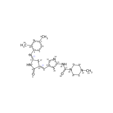 Cc1ccc(/N=C2/NC(=O)/C(=C/c3cnc(NC(=O)N4CCN(C)CC4)s3)S2)c(C)c1